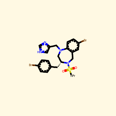 CCCS(=O)(=O)N1Cc2cc(Br)ccc2N(Cc2c[nH]cn2)C[C@H]1Cc1ccc(Br)cc1